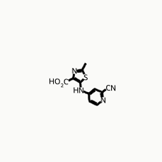 Cc1nc(C(=O)O)c(Nc2ccnc(C#N)c2)s1